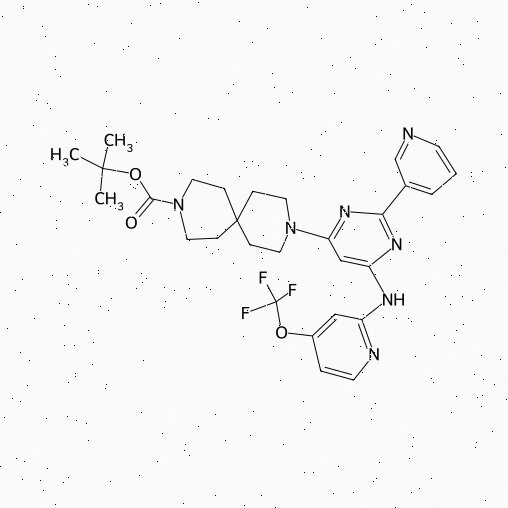 CC(C)(C)OC(=O)N1CCC2(CC1)CCN(c1cc(Nc3cc(OC(F)(F)F)ccn3)nc(-c3cccnc3)n1)CC2